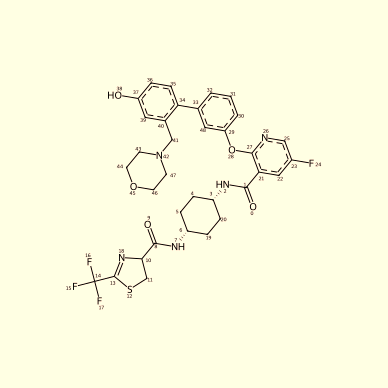 O=C(N[C@H]1CC[C@@H](NC(=O)C2CSC(C(F)(F)F)=N2)CC1)c1cc(F)cnc1Oc1cccc(-c2ccc(O)cc2CN2CCOCC2)c1